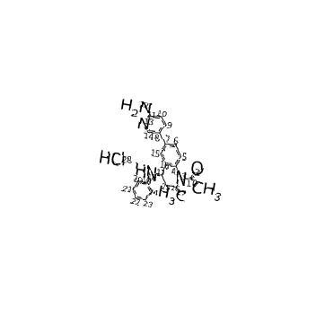 CC(=O)N1c2ccc(-c3ccc(N)nc3)cc2C(Nc2ccccc2)CC1C.Cl